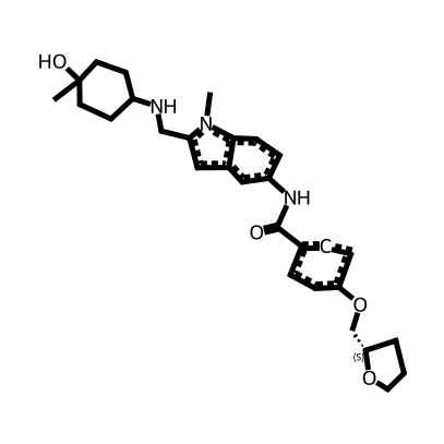 Cn1c(CNC2CCC(C)(O)CC2)cc2cc(NC(=O)c3ccc(OC[C@@H]4CCCO4)cc3)ccc21